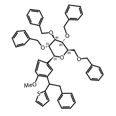 COc1ccc([C@@H]2O[C@H](COCc3ccccc3)[C@@H](OCc3ccccc3)[C@H](OCc3ccccc3)[C@H]2OCc2ccccc2)cc1C(Cc1ccccc1)c1cccs1